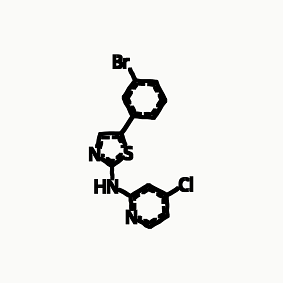 Clc1ccnc(Nc2ncc(-c3cccc(Br)c3)s2)c1